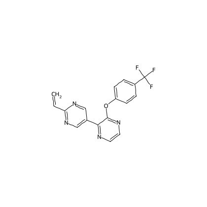 C=Cc1ncc(-c2nccnc2Oc2ccc(C(F)(F)F)cc2)cn1